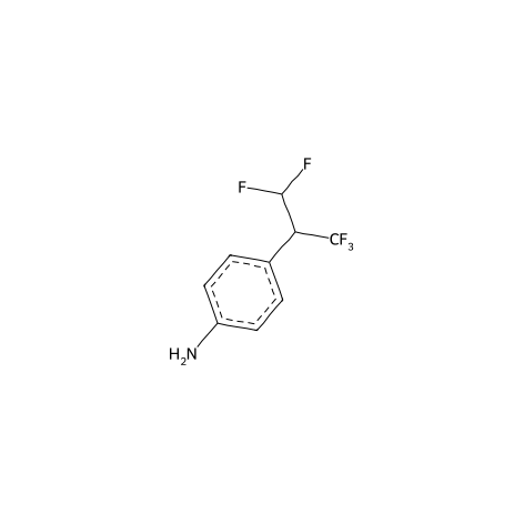 Nc1ccc(C(C(F)F)C(F)(F)F)cc1